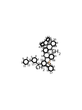 C=C(c1cccc(-c2ccccc2)c1)c1cc(C(Cc2ccc3c(c2)C(=C)c2ccccc2C32c3ccccc3-c3ccccc32)c2ccccc2)c2sc3ccccc3c2c1